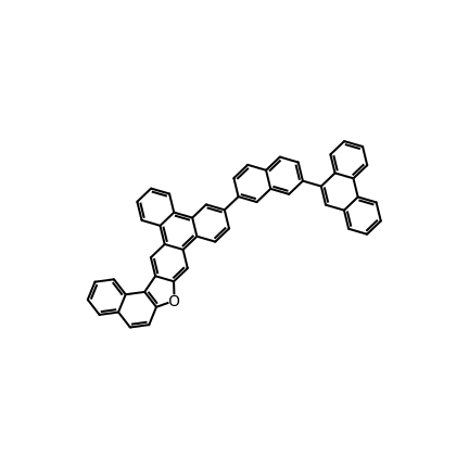 c1ccc2c(c1)cc(-c1ccc3ccc(-c4ccc5c(c4)c4ccccc4c4cc6c(cc54)oc4ccc5ccccc5c46)cc3c1)c1ccccc12